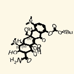 CN(C)c1ccc(OC(=O)OC(C)(C)C)c2c1C[C@@]1(CO)C[C@H]3[C@H](N(C)C)C(O)=C(C(N)=O)C(=O)[C@@]3(O)C(O)=C1C2=O